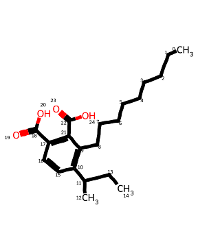 CCCCCCCCCc1c(C(C)CC)ccc(C(=O)O)c1C(=O)O